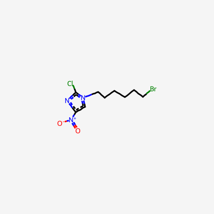 O=[N+]([O-])c1cn(CCCCCCBr)c(Cl)n1